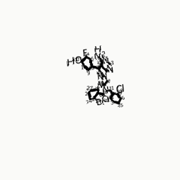 Nc1ncnc2c1c(-c1ccc(O)c(F)c1)nn2Cc1nc2cccc(Br)c2c(=O)n1Cc1ccccc1Cl